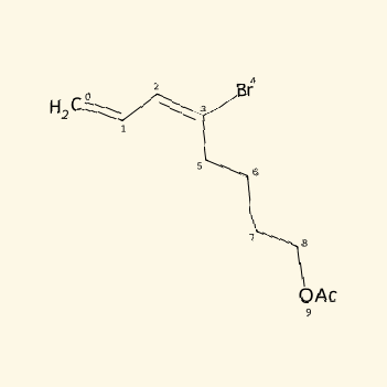 C=C/C=C(/Br)CCCCOC(C)=O